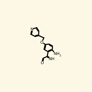 N=C(C=O)c1cc(OCc2ccncc2)ccc1N